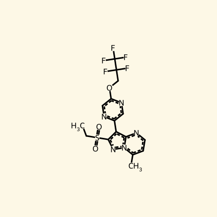 CCS(=O)(=O)c1nn2c(C)ccnc2c1-c1cnc(OCC(F)(F)C(F)(F)F)cn1